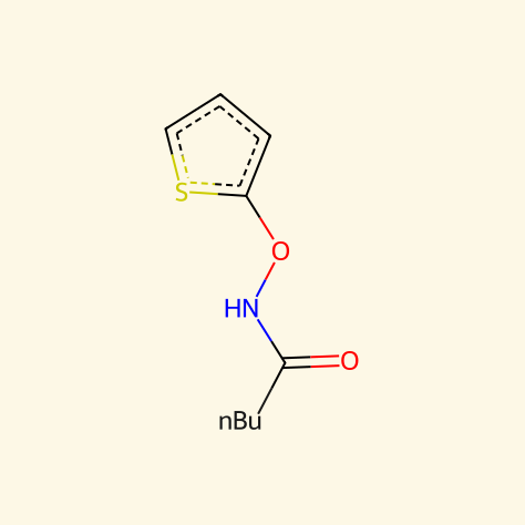 CCCCC(=O)NOc1cccs1